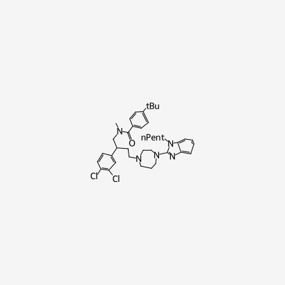 CCCCCn1c(N2CCCN(CCC(CN(C)C(=O)c3ccc(C(C)(C)C)cc3)c3ccc(Cl)c(Cl)c3)CC2)nc2ccccc21